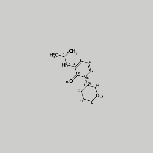 CC(C)Nc1cccn([C@H]2CCCOC2)c1=O